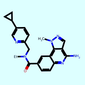 CCN(Cc1ccc(C2CC2)cn1)C(=O)c1ccc2nc(N)c3cnn(C)c3c2c1